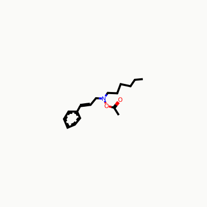 CCCCCCN(CC=Cc1ccccc1)OC(C)=O